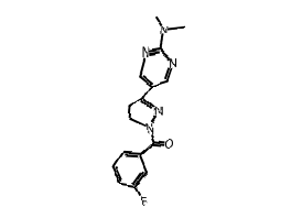 CN(C)c1ncc(C2=NN(C(=O)c3cccc(F)c3)CC2)cn1